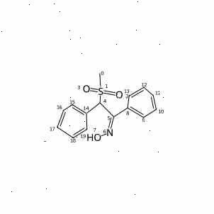 CS(=O)(=O)C(C(=NO)c1ccccc1)c1ccccc1